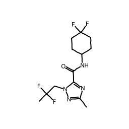 Cc1nc(C(=O)NC2CCC(F)(F)CC2)n(CC(C)(F)F)n1